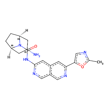 Cc1ncc(-c2cc3cc(NC(=O)N4[C@@H]5CC[C@H]4C[C@H](N)C5)ncc3cn2)o1